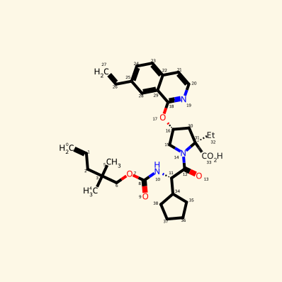 C=CCC(C)(C)COC(=O)N[C@H](C(=O)N1C[C@H](Oc2nccc3ccc(C=C)cc23)C[C@@]1(CC)C(=O)O)C1CCCC1